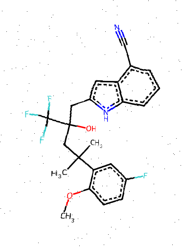 COc1ccc(F)cc1C(C)(C)CC(O)(Cc1cc2c(C#N)cccc2[nH]1)C(F)(F)F